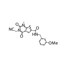 COc1cccc(CNC(=O)c2cc3c(=O)n(CC#N)c(=O)n(C)c3s2)c1